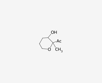 CC(=O)C1(C)OCCCC1O